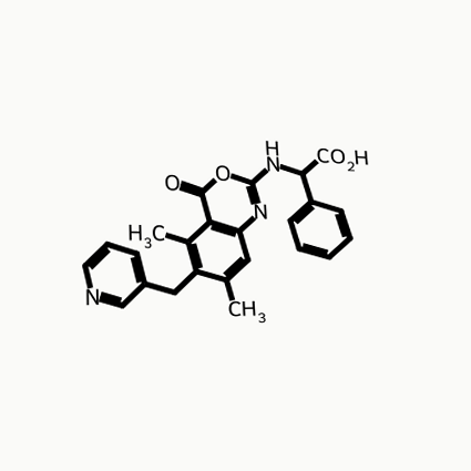 Cc1cc2nc(NC(C(=O)O)c3ccccc3)oc(=O)c2c(C)c1Cc1cccnc1